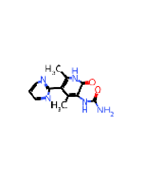 Cc1[nH]c(=O)c(NC(N)=O)c(C)c1-c1ncccn1